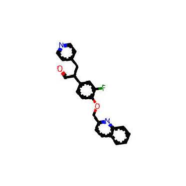 O=CC(Cc1ccncc1)c1ccc(OCc2ccc3ccccc3n2)c(F)c1